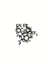 C=CC(=O)N1Cc2sc(C#N)cc2[C@]1([SiH3])c1cccc(F)c1-c1cn(CC)nc1C(F)(F)F